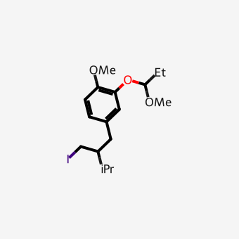 CCC(OC)Oc1cc(CC(CI)C(C)C)ccc1OC